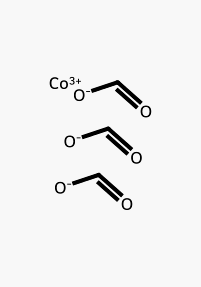 O=C[O-].O=C[O-].O=C[O-].[Co+3]